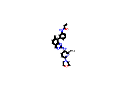 C=CC(=O)Nc1cccc(-c2c(C)ccc3cnc(Nc4ccc(N5CCOCC5)nc4OC)nc23)c1